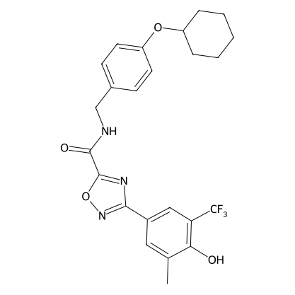 Cc1cc(-c2noc(C(=O)NCc3ccc(OC4CCCCC4)cc3)n2)cc(C(F)(F)F)c1O